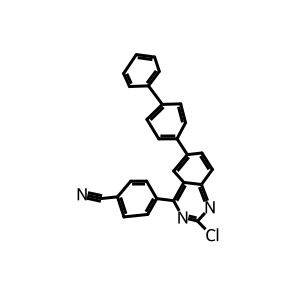 N#Cc1ccc(-c2nc(Cl)nc3ccc(-c4ccc(-c5ccccc5)cc4)cc23)cc1